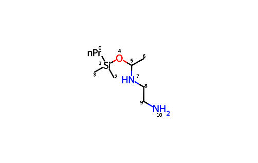 CCC[Si](C)(C)OC(C)NCCN